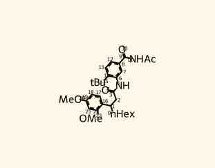 CCCCCCC(CC(=O)Nc1cc(C(=O)NC(C)=O)ccc1C(C)(C)C)c1ccc(OC)cc1OC